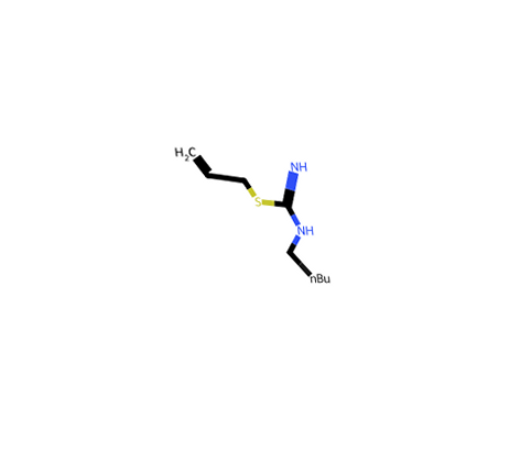 C=CCSC(=N)NCCCCC